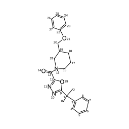 CC(C)(c1ccccc1)c1nnc(C(=O)N2CCCC(COc3ccccc3)C2)o1